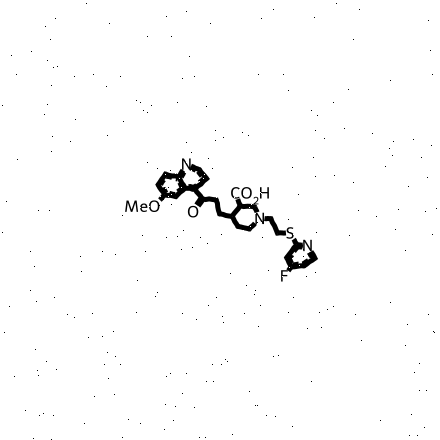 COc1ccc2nccc(C(=O)CCC3CCN(CCSc4cc(F)ccn4)CC3C(=O)O)c2c1